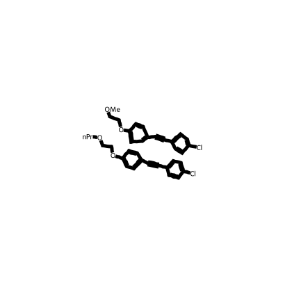 CCCOCCOc1ccc(C#Cc2ccc(Cl)cc2)cc1.COCCOc1ccc(C#Cc2ccc(Cl)cc2)cc1